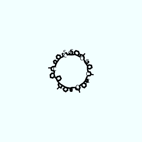 Cc1cc2cc(c1)c1ccccc1c1ccccc1c1cc(C)cc(c1)c1ccccc1c1ccccc1c1cc(C)cc(c1)c1ccccc1c1ccccc1c1cc(C)cc(c1)c1ccccc1c1ccccc1c1cc(C)cc(c1)c1ccccc1c1ccccc1c1cc(c3ccccc3c3ccccc23)CSC=1